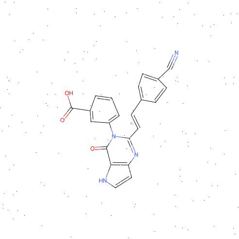 N#Cc1ccc(/C=C/c2nc3cc[nH]c3c(=O)n2-c2cccc(C(=O)O)c2)cc1